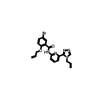 C=CCOc1ccc(Br)cc1C(=O)Nc1cccc(-c2nncn2CC=C)n1